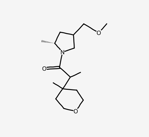 COCC1C[C@@H](C)N(C(=O)C(C)C2(C)CCOCC2)C1